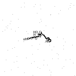 CCCOCCOCCNC(=O)CCc1ncc([C@@H](CCCCCCc2ccc3c(n2)NCCC3)CC(=O)O)cn1